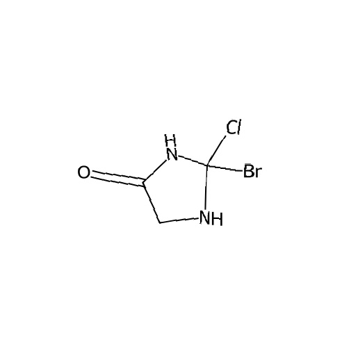 O=C1CNC(Cl)(Br)N1